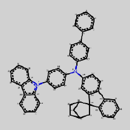 c1ccc(-c2ccc(N(c3ccc(-n4c5ccccc5c5ccccc54)cc3)c3ccc4c(c3)C3(CC5CCC3C5)c3ccccc3-4)cc2)cc1